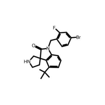 CC(C)(C)c1cccc2c1C1(CCNC1)C(=O)N2Cc1ccc(Br)cc1F